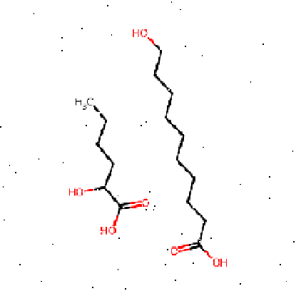 CCCCC(O)C(=O)O.O=C(O)CCCCCCCCCO